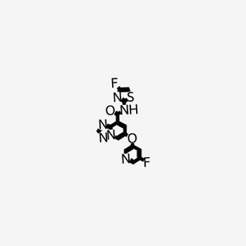 O=C(Nc1nc(F)cs1)c1cc(Oc2cncc(F)c2)cn2ncnc12